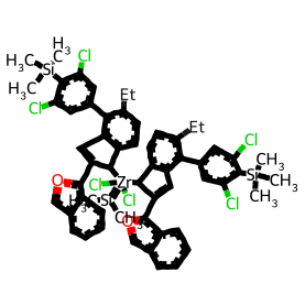 CCc1ccc2c(c1-c1cc(Cl)c([Si](C)(C)C)c(Cl)c1)C=C(c1occ3ccccc13)[CH]2[Zr]([Cl])([Cl])([CH]1C(c2occ3ccccc23)=Cc2c1ccc(CC)c2-c1cc(Cl)c([Si](C)(C)C)c(Cl)c1)=[Si](C)C